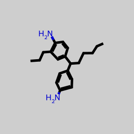 CCCCCC(c1ccc(N)cc1)c1ccc(N)c(CCC)c1